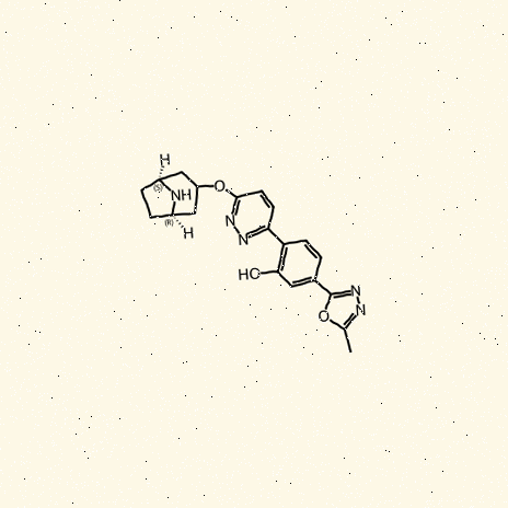 Cc1nnc(-c2ccc(-c3ccc(OC4C[C@H]5CC[C@@H](C4)N5)nn3)c(O)c2)o1